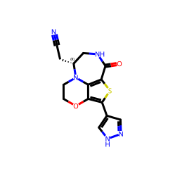 N#CC[C@@H]1CNC(=O)c2sc(-c3cn[nH]c3)c3c2N1CCO3